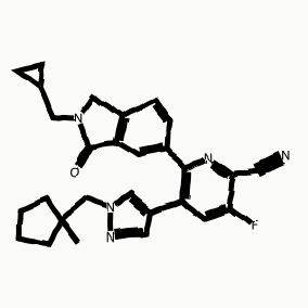 CC1(Cn2cc(-c3cc(F)c(C#N)nc3-c3ccc4c(c3)C(=O)N(CC3CC3)C4)cn2)CCCC1